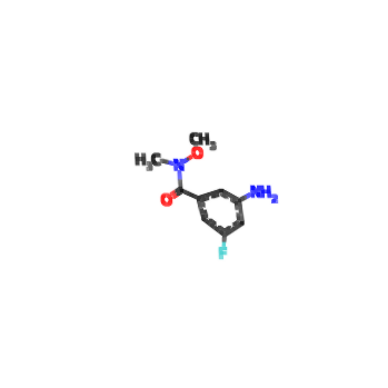 CON(C)C(=O)c1cc(N)cc(F)c1